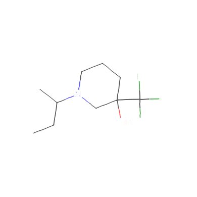 CCC(C)N1CCCC(O)(C(F)(F)F)C1